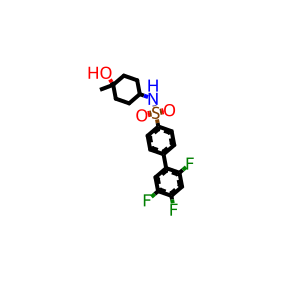 CC1(O)CCC(NS(=O)(=O)c2ccc(-c3cc(F)c(F)cc3F)cc2)CC1